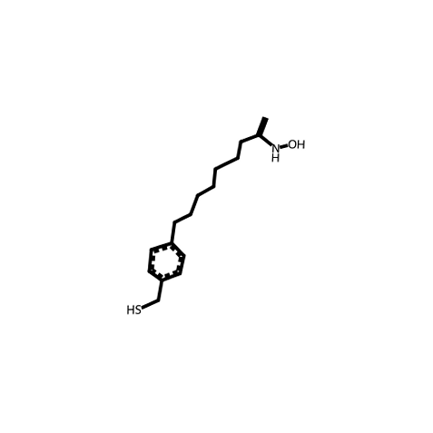 C=C(CCCCCCCc1ccc(CS)cc1)NO